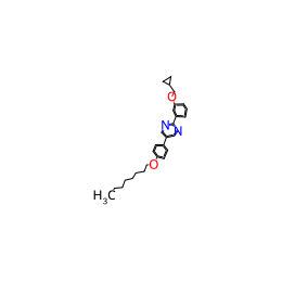 CCCCCCCCOc1ccc(-c2cnc(-c3cccc(OCC4CC4)c3)nc2)cc1